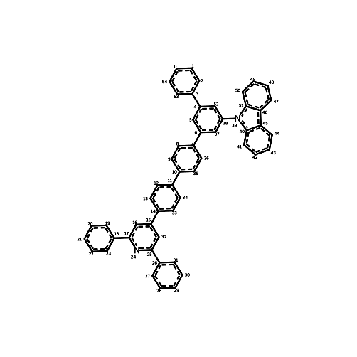 c1ccc(-c2cc(-c3ccc(-c4ccc(-c5cc(-c6ccccc6)nc(-c6ccccc6)c5)cc4)cc3)cc(-n3c4ccccc4c4ccccc43)c2)cc1